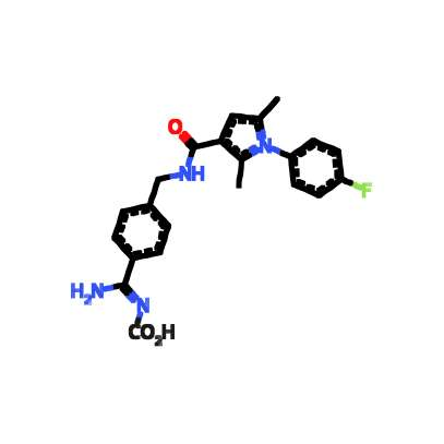 Cc1cc(C(=O)NCc2ccc(C(N)=NC(=O)O)cc2)c(C)n1-c1ccc(F)cc1